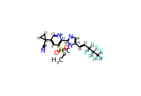 CCS(=O)(=O)c1cc(C2(C#N)CC2)cnc1-c1ncc(/C=C/C(F)(F)C(F)(F)C(F)(F)F)n1C